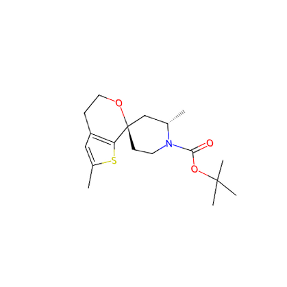 Cc1cc2c(s1)[C@]1(CCN(C(=O)OC(C)(C)C)[C@@H](C)C1)OCC2